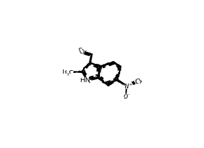 Cc1[nH]c2cc([N+](=O)[O-])ccc2c1C=O